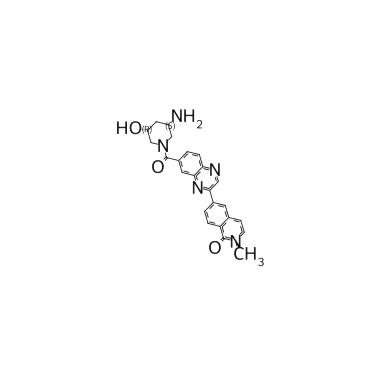 Cn1ccc2cc(-c3cnc4ccc(C(=O)N5C[C@@H](N)C[C@@H](O)C5)cc4n3)ccc2c1=O